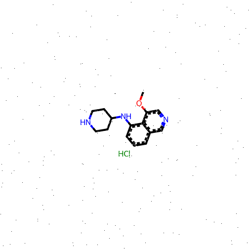 COc1cncc2cccc(NC3CCNCC3)c12.Cl